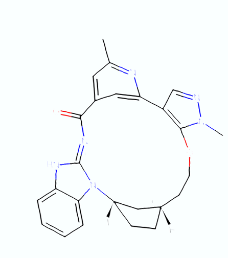 Cc1cc2cc(n1)-c1cnn(C)c1OCC[C@@H]1CC[C@@H](C1)N1/C(=N/C2=O)Nc2ccccc21